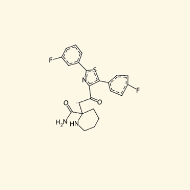 NC(=O)C1([CH]C(=O)c2nc(-c3cccc(F)c3)sc2-c2ccc(F)cc2)CCCCN1